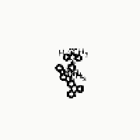 CC1(C)c2ccccc2N(c2cccc(-n3c4ccccc4c4ccc5c(c43)C(C)(C)c3cc4c6ccccc6c6ccccc6c4cc3-5)c2)c2ccccc21